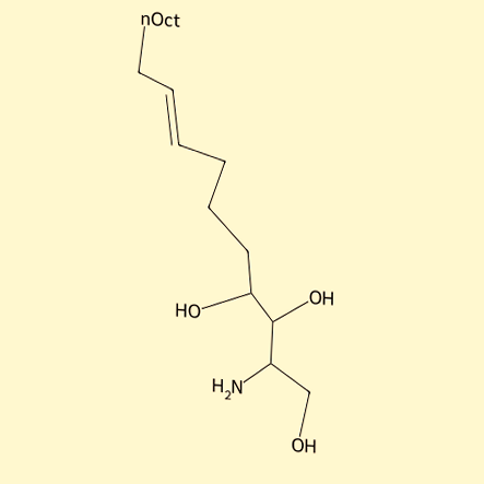 CCCCCCCCC/C=C/CCCC(O)C(O)C(N)CO